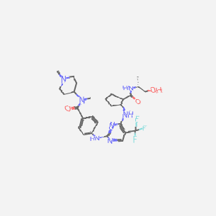 C[C@H](CO)NC(=O)C1CCCC1Nc1nc(Nc2ccc(C(=O)N(C)C3CCN(C)CC3)cc2)ncc1C(F)(F)F